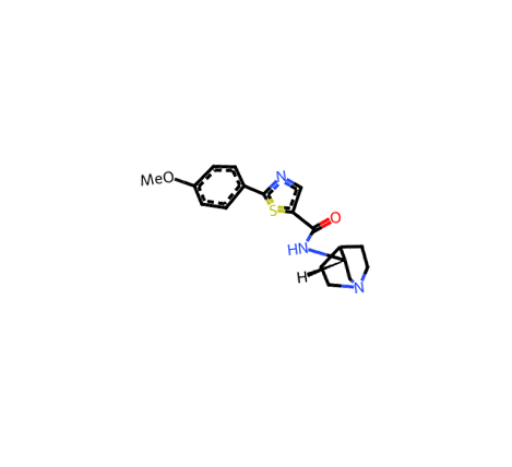 COc1ccc(-c2ncc(C(=O)N[C@H]3CN4CCC3CC4)s2)cc1